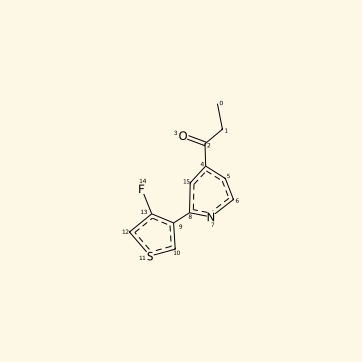 CCC(=O)c1ccnc(-c2cscc2F)c1